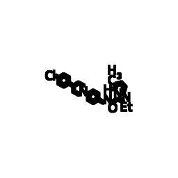 CCc1nc2ccc(C)cn2c1C(=O)NCc1ccc(N2CCC(c3ccc(Cl)cc3)CC2)cc1